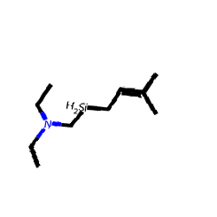 CCN(CC)C[SiH2]CC=C(C)C